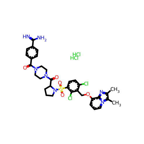 Cc1nc2c(OCc3c(Cl)ccc(S(=O)(=O)N4CCCC4C(=O)N4CCN(C(=O)c5ccc(C(=N)N)cc5)CC4)c3Cl)cccn2c1C.Cl.Cl